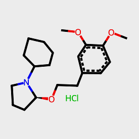 COc1ccc(CCO[C@H]2CCCN2C2CCCCC2)cc1OC.Cl